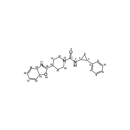 O=C(NC1CC1c1ccccc1)N1CCC(C2=NC3C=CC=CC3O2)CC1